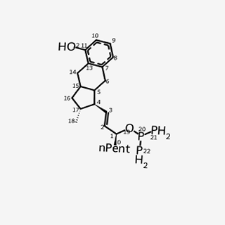 CCCCC[C@@H](/C=C/[C@@H]1C2Cc3cccc(O)c3CC2C[C@H]1C)OP(P)P